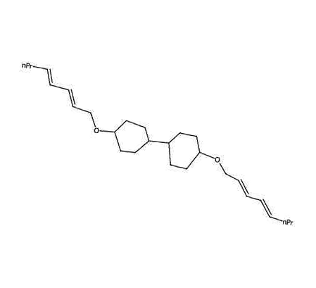 CCCC=CC=CCOC1CCC(C2CCC(OCC=CC=CCCC)CC2)CC1